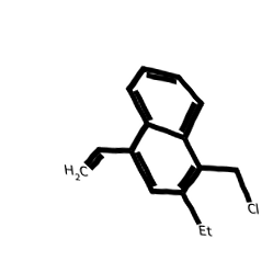 C=Cc1cc(CC)c(CCl)c2ccccc12